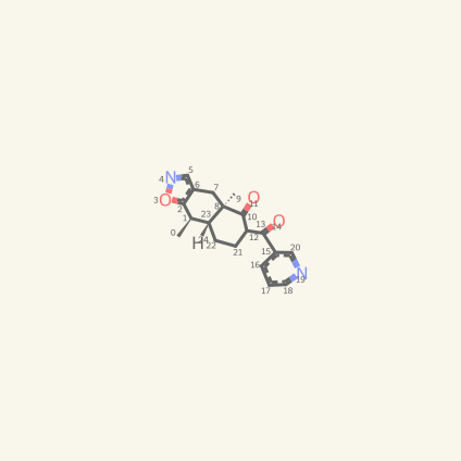 C[C@H]1c2oncc2C[C@@]2(C)C(=O)C(C(=O)c3cccnc3)CC[C@H]12